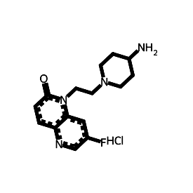 Cl.NC1CCN(CCn2c(=O)ccc3ncc(F)cc32)CC1